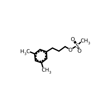 Cc1cc(C)cc(CCCOS(C)(=O)=O)c1